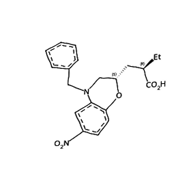 CC[C@H](C[C@H]1CN(Cc2ccccc2)c2cc([N+](=O)[O-])ccc2O1)C(=O)O